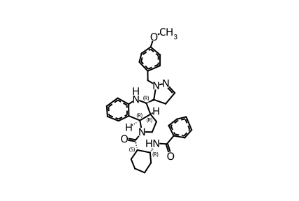 COc1ccc(CN2N=CCC2[C@@H]2Nc3ccccc3[C@H]3[C@@H]2CCN3C(=O)[C@H]2CCCC[C@H]2NC(=O)c2ccccc2)cc1